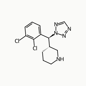 Clc1cccc([C@H]([C@H]2CCCNC2)n2ncnn2)c1Cl